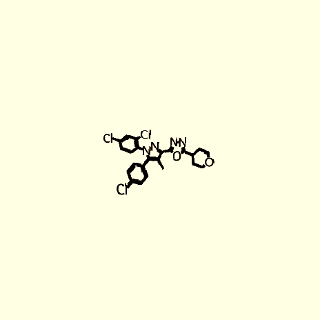 Cc1c(-c2nnc(C3CCOCC3)o2)nn(-c2ccc(Cl)cc2Cl)c1-c1ccc(Cl)cc1